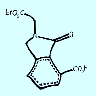 CCOC(=O)CN1Cc2cccc(C(=O)O)c2C1=O